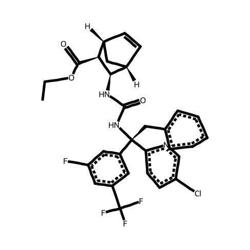 CCOC(=O)[C@@H]1[C@H](NC(=O)N[C@@](Cc2ccccc2)(c2cc(F)cc(C(F)(F)F)c2)c2ccc(Cl)cn2)[C@H]2C=C[C@@H]1C2